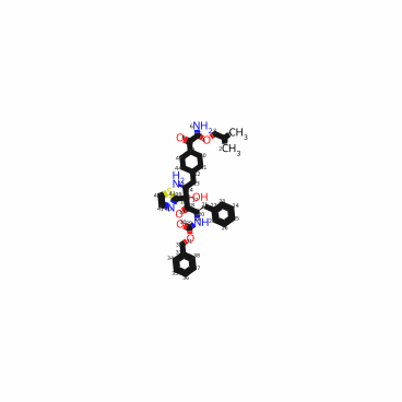 CC(C)COC(N)C(=O)C1CCC(C[C@H](N)[C@@](O)(C(=O)[C@H](Cc2ccccc2)NC(=O)OCc2ccccc2)c2nccs2)CC1